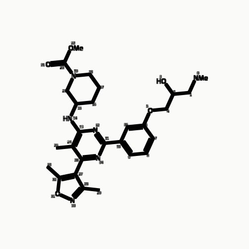 CNCC(O)COc1cccc(-c2nc(NC3CCCN(C(=O)OC)C3)c(C)c(-c3c(C)noc3C)n2)c1